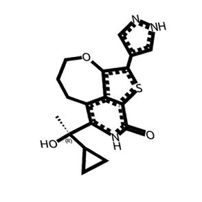 C[C@](O)(c1[nH]c(=O)c2sc(-c3cn[nH]c3)c3c2c1CCCO3)C1CC1